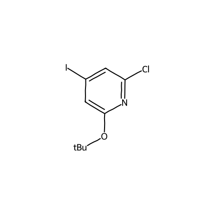 CC(C)(C)Oc1cc(I)cc(Cl)n1